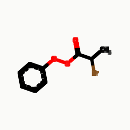 CC(Br)C(=O)OOc1ccccc1